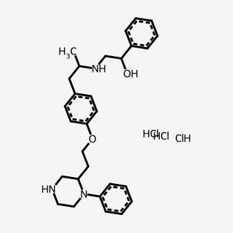 CC(Cc1ccc(OCCC2CNCCN2c2ccccc2)cc1)NCC(O)c1ccccc1.Cl.Cl.Cl